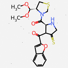 COC(OC)[C@@H]1CSCN1C(=O)[C@H]1NCC(=S)C1C(=O)c1cc2ccccc2o1